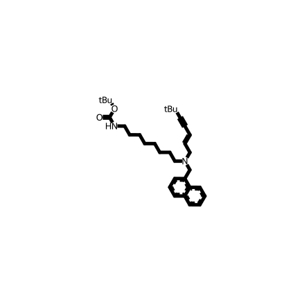 CC(C)(C)C#CC=CCN(CCCCCCCCNC(=O)OC(C)(C)C)Cc1cccc2ccccc12